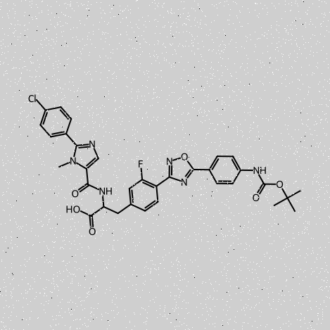 Cn1c(C(=O)NC(Cc2ccc(-c3noc(-c4ccc(NC(=O)OC(C)(C)C)cc4)n3)c(F)c2)C(=O)O)cnc1-c1ccc(Cl)cc1